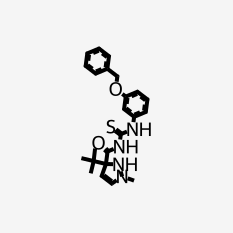 CN1C=CC(C(=O)NC(=S)Nc2cccc(OCc3ccccc3)c2)(C(C)(C)C)N1